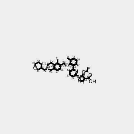 CCOc1c(C(=O)O)cnn1-c1cccc(-c2cccc(C)c2OCc2ccc3c(c2C)CCN(CC2CCCOC2)C3)n1